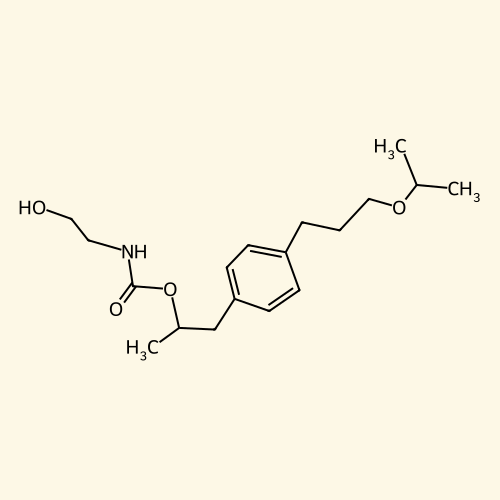 CC(C)OCCCc1ccc(CC(C)OC(=O)NCCO)cc1